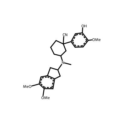 COc1ccc(C2(C#N)CCCC(N(C)C3Cc4cc(OC)c(OC)cc4C3)C2)cc1O